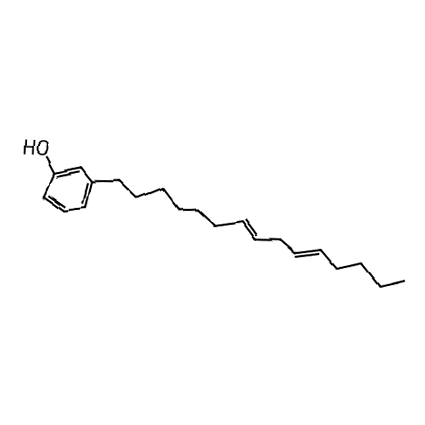 CCCCC=CCC=CCCCCCCc1cccc(O)c1